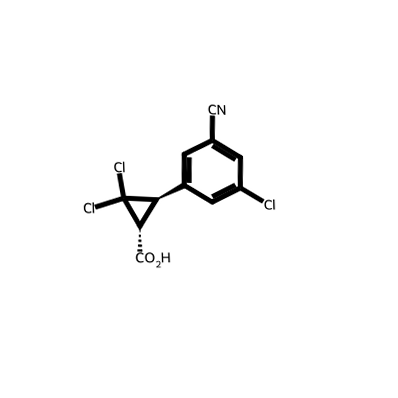 N#Cc1cc(Cl)cc([C@H]2[C@H](C(=O)O)C2(Cl)Cl)c1